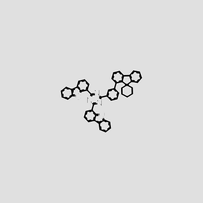 c1cc(-c2nc(-c3cccc4c3oc3ccccc34)nc(-c3cccc4c3oc3ccccc34)n2)cc(-c2cccc3c2C2(CCCCC2)c2ccccc2-3)c1